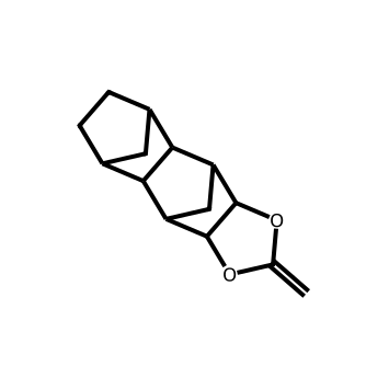 C=C1OC2C3CC(C2O1)C1C2CCC(C2)C31